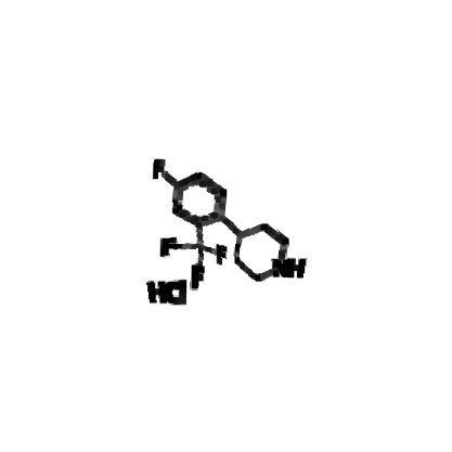 Cl.Fc1ccc(C2CCNCC2)c(C(F)(F)F)c1